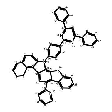 C1=Cc2ccc3c(c2CC1)c1cc(-c2ccccn2)c2c4ccccc4sc2c1n3-c1ccc(-c2nc(-c3ccccc3)cc(-c3ccccc3)n2)cc1